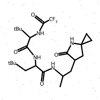 CC(CC1CC2(CC2)NC1=O)NC(=O)C(CC(C)(C)C)NC(=O)C(NC(=O)C(F)(F)F)C(C)(C)C